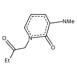 CCC(=O)Cn1cccc(NC)c1=O